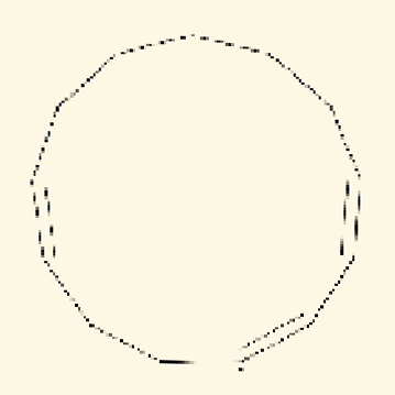 [C]1=CC=CCCCCCC=CCC1